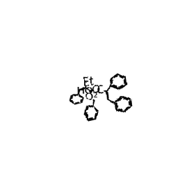 CCC(=Cc1ccccc1)C(=O)OCc1ccccc1.O=C(O)C(=Cc1ccccc1)c1ccccc1